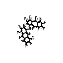 Fc1c(F)c(F)c2c(F)c3c(Bc4c(F)c(F)c(F)c5c(F)c6c(F)c(F)c(F)c(F)c6c(F)c45)c(F)c(F)c(F)c3c(F)c2c1F